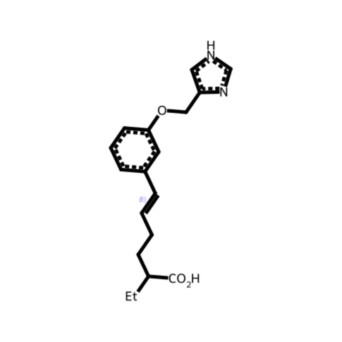 CCC(CC/C=C/c1cccc(OCc2c[nH]cn2)c1)C(=O)O